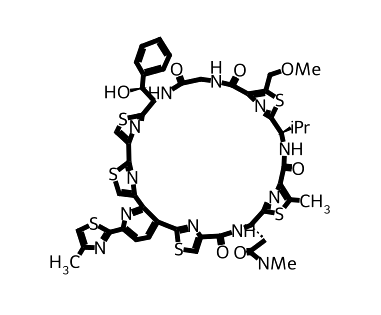 CNC(=O)C[C@@H]1NC(=O)c2csc(n2)-c2ccc(-c3nc(C)cs3)nc2-c2csc(n2)-c2csc(n2)C([C@@H](O)c2ccccc2)NC(=O)CNC(=O)c2nc(sc2COC)[C@@H](C(C)C)NC(=O)c2nc1sc2C